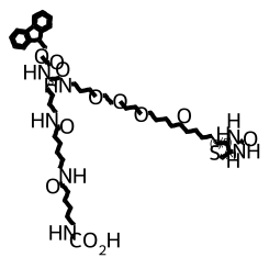 O=C(CCCCOCCOCCOCCCNC(=O)[C@H](CCCCNC(=O)CCCCCNC(=O)CCCCCNC(=O)O)NC(=O)OCC1c2ccccc2-c2ccccc21)CCCC[C@@H]1SC[C@@H]2NC(=O)N[C@@H]21